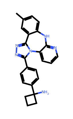 Cc1ccc2c(c1)-c1nnc(-c3ccc(C4(N)CCC4)cc3)n1-c1cccnc1N2